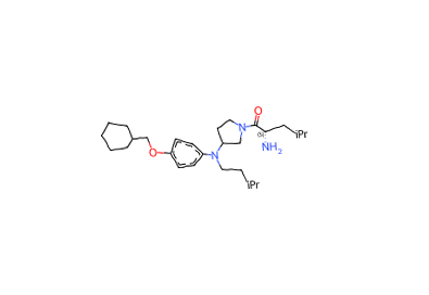 CC(C)CCN(c1ccc(OCC2CCCCC2)cc1)C1CCN(C(=O)[C@@H](N)CC(C)C)C1